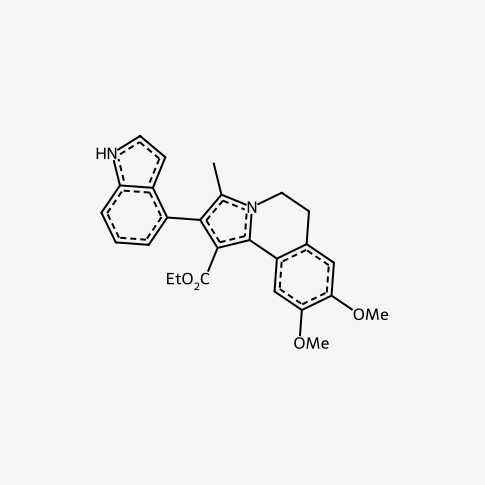 CCOC(=O)c1c(-c2cccc3[nH]ccc23)c(C)n2c1-c1cc(OC)c(OC)cc1CC2